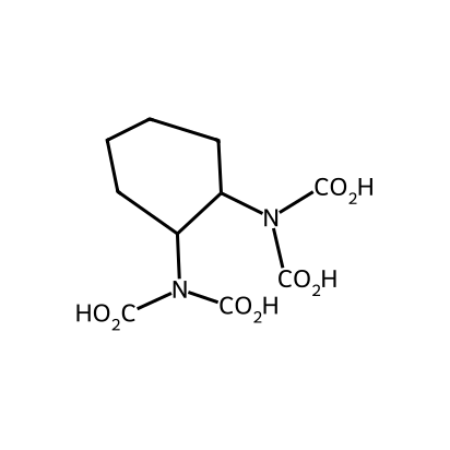 O=C(O)N(C(=O)O)C1CCCCC1N(C(=O)O)C(=O)O